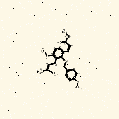 COc1ccc(COc2c(/C=C\C(=O)NO)ccc(OC)c2CC=C(C)C)cc1